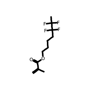 C=C(C)C(=O)OCCCCC(F)(F)C(C)(F)F